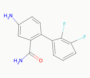 NC(=O)c1cc(N)ccc1-c1cccc(F)c1F